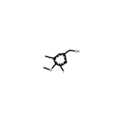 COc1c(I)cc(CO)cc1I